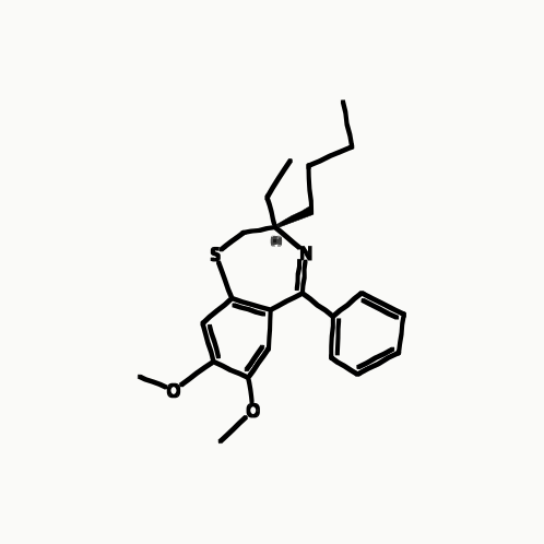 CCCC[C@]1(CC)CSc2cc(OC)c(OC)cc2C(c2ccccc2)=N1